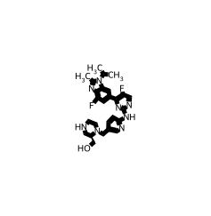 Cc1nc2c(F)cc(-c3nc(Nc4ccc(CN5CCNC[C@@H]5CO)cn4)ncc3F)cc2n1C(C)C